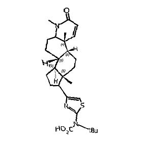 CN1C(=O)C=C[C@@]2(C)C1CC[C@@H]1[C@H]2CC[C@]2(C)C(c3csc(N(C(=O)O)C(C)(C)C)n3)CC[C@@H]12